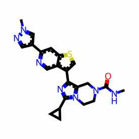 CNC(=O)N1CCn2c(C3CC3)nc(-c3csc4cc(-c5cnn(C)c5)ncc34)c2C1